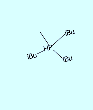 CCC(C)[PH](C)(C(C)CC)C(C)CC